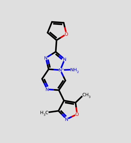 Cc1noc(C)c1C1=C[N+]2(N)N=C(c3ccco3)N=C2C=N1